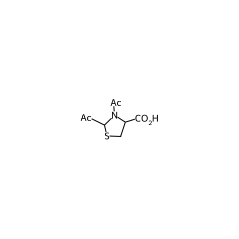 CC(=O)C1SCC(C(=O)O)N1C(C)=O